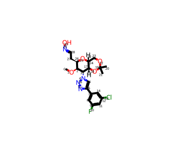 CO[C@@H]1[C@@H](n2cc(-c3cc(F)cc(Cl)c3)nn2)[C@H]2OC(C)(C)OC[C@H]2O[C@@H]1CC=NO